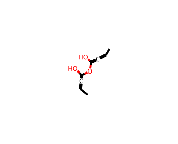 CC=C=C(O)OC(O)=C=CC